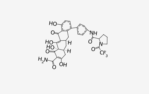 NC(=O)C1=C(O)C[C@@H]2C[C@@H]3Cc4c(-c5ccc(NC(=O)C6CCCN6C(=O)C(F)(F)F)cc5)ccc(O)c4C(=O)C3=C(O)[C@]2(O)C1=O